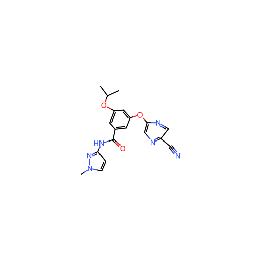 CC(C)Oc1cc(Oc2cnc(C#N)cn2)cc(C(=O)Nc2ccn(C)n2)c1